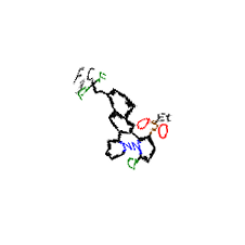 CCS(=O)(=O)c1ccc(Cl)nc1-c1cc2cccc(CC(F)(F)C(F)(F)F)c2cc1-c1ccccn1